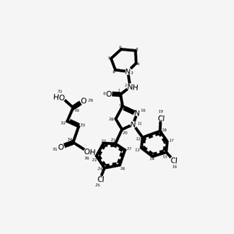 O=C(NN1CCCCC1)C1=NN(c2ccc(Cl)cc2Cl)C(c2ccc(Cl)cc2)C1.O=C(O)C=CC(=O)O